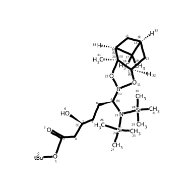 CC(C)(C)OC(=O)C[C@@H](O)CC[C@@H](B1O[C@@H]2C[C@@H]3C[C@@H](C3(C)C)[C@]2(C)O1)N([Si](C)(C)C)[Si](C)(C)C